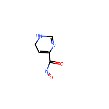 O=NC(=O)C1=CCNC=N1